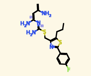 C=C(N)/C=C(N)\N=C(/N)SCc1nc(-c2ccc(F)cc2)sc1CCC